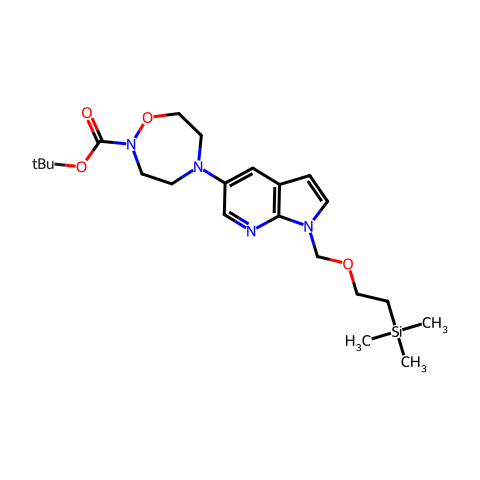 CC(C)(C)OC(=O)N1CCN(c2cnc3c(ccn3COCC[Si](C)(C)C)c2)CCO1